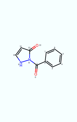 O=C(c1ccccc1)n1[nH]ccc1=O